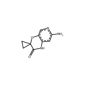 Nc1cc2c(cn1)OC1(CC1)C(=O)N2